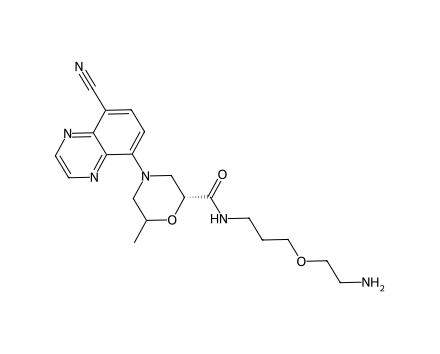 CC1CN(c2ccc(C#N)c3nccnc23)C[C@H](C(=O)NCCCOCCN)O1